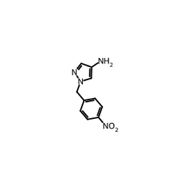 Nc1cnn(Cc2ccc([N+](=O)[O-])cc2)c1